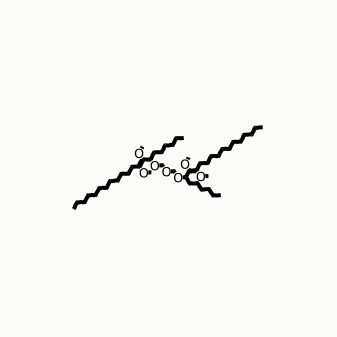 CCCCCCCCCCCCC(OC)=C(OC)C(CCCCCC)OCOCOC(CCCCCC)C(OC)=C(CCCCCCCCCCCC)OC